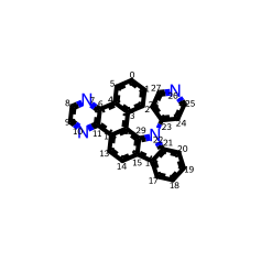 c1ccc2c(c1)c1nccnc1c1ccc3c4ccccc4n(-c4ccncc4)c3c21